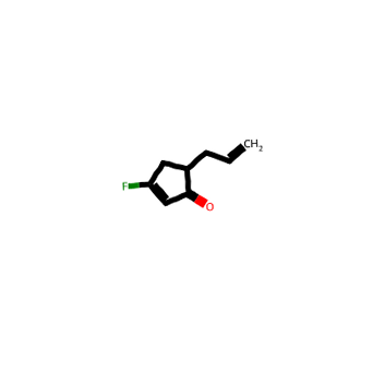 C=CCC1CC(F)=CC1=O